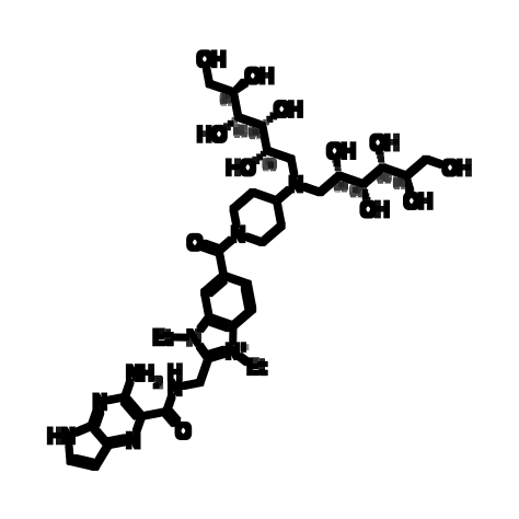 CCn1c(CNC(=O)c2nc3cc[nH]c3nc2N)[n+](CC)c2ccc(C(=O)N3CCC(N(C[C@H](O)[C@@H](O)[C@H](O)[C@H](O)CO)C[C@H](O)[C@@H](O)[C@H](O)[C@H](O)CO)CC3)cc21